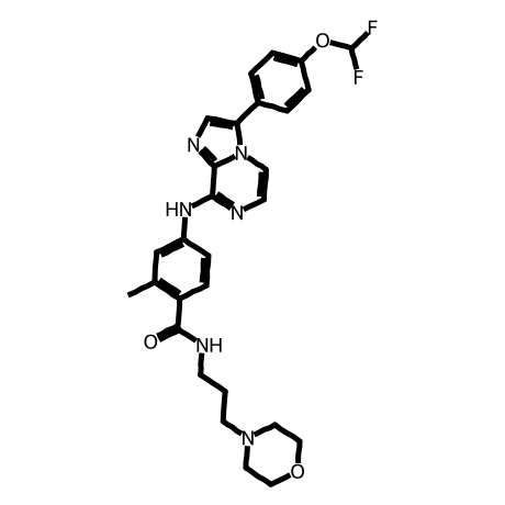 Cc1cc(Nc2nccn3c(-c4ccc(OC(F)F)cc4)cnc23)ccc1C(=O)NCCCN1CCOCC1